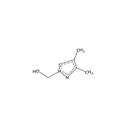 Cc1cn(CO)nc1C